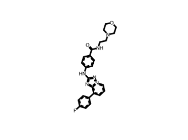 O=C(NCCN1CCOCC1)c1ccc(Nc2nc3c(-c4ccc(F)cc4)cccn3n2)cc1